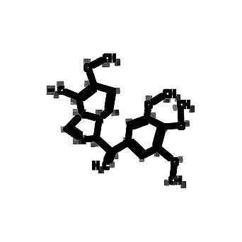 C=C(c1cc(OC)c(OC)c(OC)c1)C1N=CN2C(C)=C(OC)C=CN12